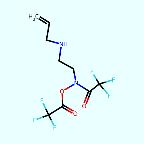 C=CCNCCN(OC(=O)C(F)(F)F)C(=O)C(F)(F)F